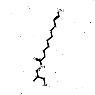 CCCCCCCCC=CCCCCCCCC(=O)NCC(C)CN